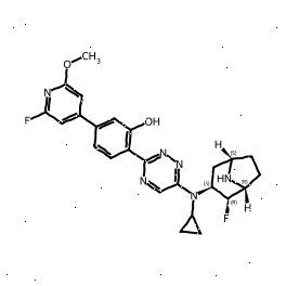 COc1cc(-c2ccc(-c3ncc(N(C4CC4)[C@H]4C[C@@H]5CC[C@@H](N5)[C@H]4F)nn3)c(O)c2)cc(F)n1